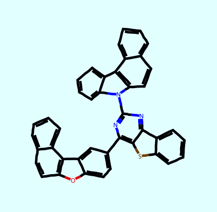 c1ccc2c(c1)ccc1oc3ccc(-c4nc(-n5c6ccccc6c6c7ccccc7ccc65)nc5c4sc4ccccc45)cc3c12